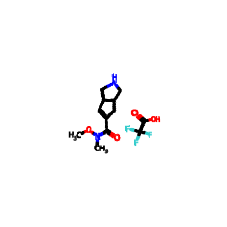 CON(C)C(=O)C1=CC2CNCC2C1.O=C(O)C(F)(F)F